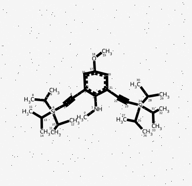 CNc1c(C#C[Si](C(C)C)(C(C)C)C(C)C)cc(OC)cc1C#C[Si](C(C)C)(C(C)C)C(C)C